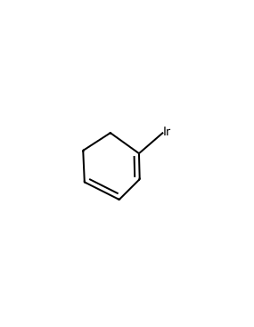 [Ir][C]1=CC=CCC1